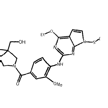 CCOc1nc(Nc2ccc(C(=O)N3CC4CC4(CO)C3)cc2OC)nc2c1ccn2SI